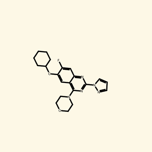 Fc1cc2nc(-n3cccn3)nc(N3CCOCC3)c2cc1OC1CCCCC1